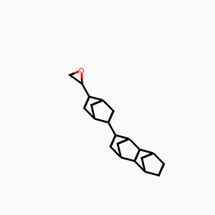 C1C2CC(C3CC4CC3C3C5CCC(C5)C43)C1CC2C1CO1